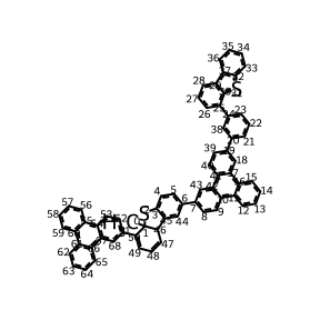 CC12Sc3ccc(-c4ccc5c6ccccc6c6cc(-c7cccc(-c8cccc9c8sc8ccccc89)c7)ccc6c5c4)cc3C1C=CC=C2c1ccc2c3ccccc3c3ccccc3c2c1